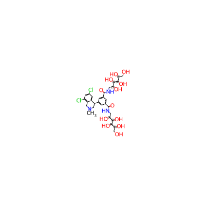 CN1Cc2c(Cl)cc(Cl)cc2C(c2cc(C(=O)NC[C@H](O)[C@@H](O)[C@H](O)[C@H](O)CO)cc(C(=O)NC[C@H](O)[C@@H](O)[C@H](O)[C@H](O)CO)c2)C1